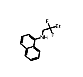 CCC(F)(F)CNc1cccc2ccccc12